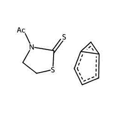 CC(=O)N1CCSC1=S.c1cc2cc-2c1